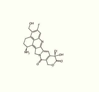 CC[C@@]1(O)C(=O)OCc2c1cc1n(c2=O)Cc2c-1nc1cc(F)c(CO)c3c1c2[C@@H](N)CC3